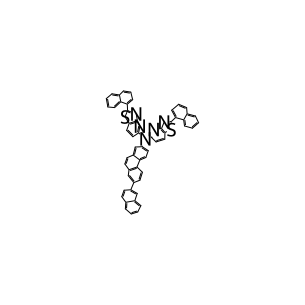 c1ccc2cc(-c3ccc4c(ccc5cc(N(c6ccc7sc(-c8cccc9ccccc89)nc7n6)c6ccc7sc(-c8cccc9ccccc89)nc7n6)ccc54)c3)ccc2c1